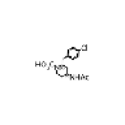 CC(=O)N[C@H]1CCN(C(=O)O)[C@H](Cc2ccc(Cl)cc2)C1